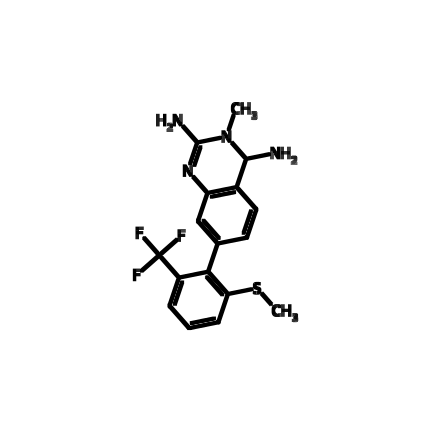 CSc1cccc(C(F)(F)F)c1-c1ccc2c(c1)N=C(N)N(C)C2N